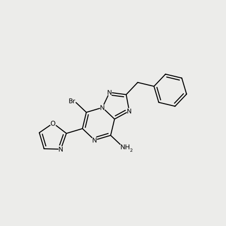 Nc1nc(-c2ncco2)c(Br)n2nc(Cc3ccccc3)nc12